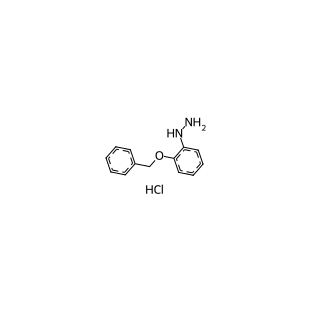 Cl.NNc1ccccc1OCc1ccccc1